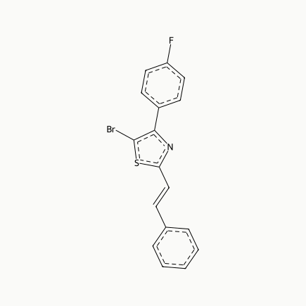 Fc1ccc(-c2nc(/C=C/c3ccccc3)sc2Br)cc1